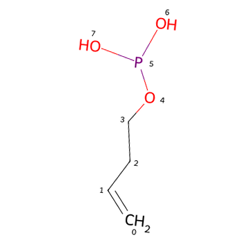 C=CCCOP(O)O